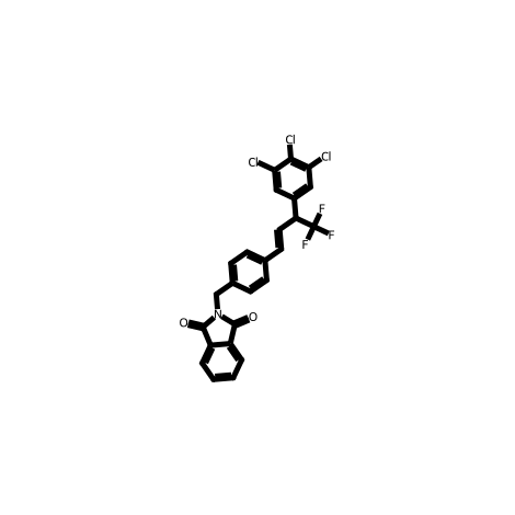 O=C1c2ccccc2C(=O)N1Cc1ccc(/C=C/C(c2cc(Cl)c(Cl)c(Cl)c2)C(F)(F)F)cc1